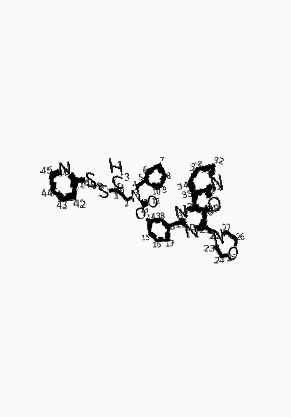 C[C@H](CN(Cc1ccccc1)C(=O)Oc1cccc(-c2nc(N3CCOCC3)c3oc4ncccc4c3n2)c1)SSc1ccccn1